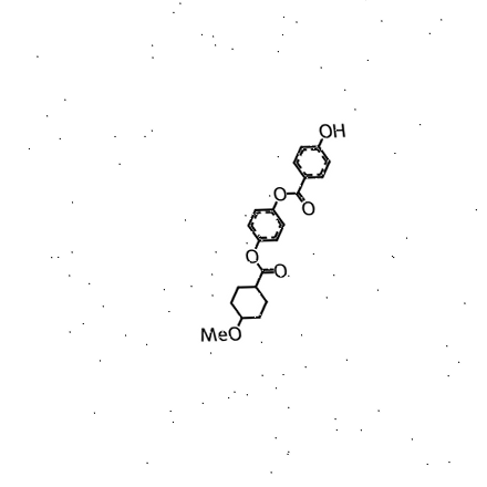 COC1CCC(C(=O)Oc2ccc(OC(=O)c3ccc(O)cc3)cc2)CC1